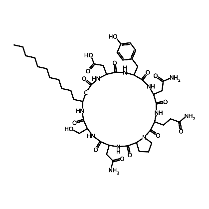 CCCCCCCCCCCC1CC(=O)NC(CC(=O)O)C(=O)NC(Cc2ccc(O)cc2)C(=O)NC(CC(N)=O)C(=O)NC(CCC(N)=O)C(=O)N2CCCC2C(=O)NC(CC(N)=O)C(=O)NC(CO)C(=O)N1